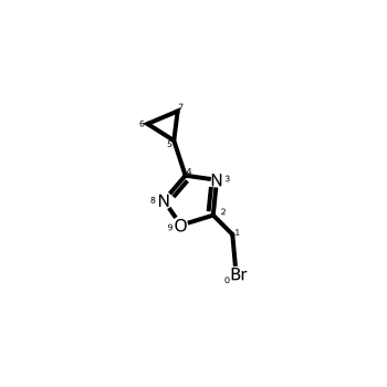 BrCc1nc(C2CC2)no1